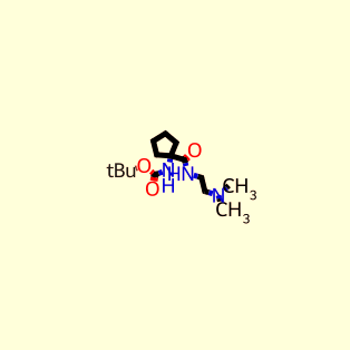 CN(C)CCNC(=O)C1(NC(=O)OC(C)(C)C)CCCC1